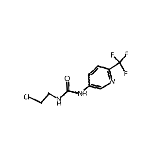 O=C(NCCCl)Nc1ccc(C(F)(F)F)nc1